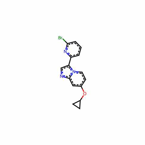 Brc1cccc(-c2cnc3cc(OC4CC4)ccn23)n1